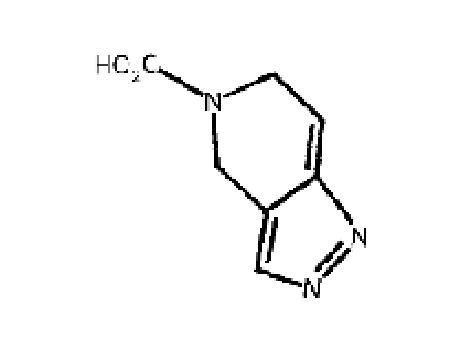 O=C(O)N1CC=C2N=NC=C2C1